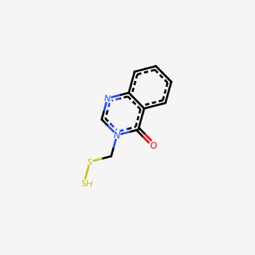 O=c1c2ccccc2ncn1CSS